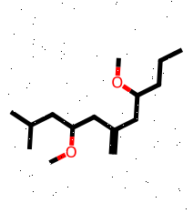 C=C(CC(CCC)OC)CC(CC(C)C)OC